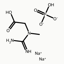 CN(CC(=O)O)C(=N)N.O=P([O-])([O-])O.[Na+].[Na+]